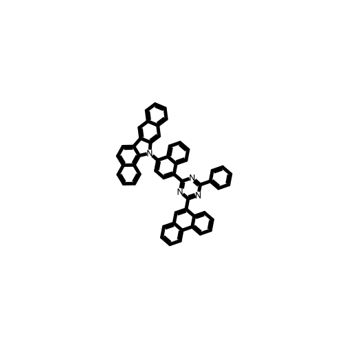 c1ccc(-c2nc(-c3ccc(-n4c5cc6ccccc6cc5c5ccc6ccccc6c54)c4ccccc34)nc(-c3cc4ccccc4c4ccccc34)n2)cc1